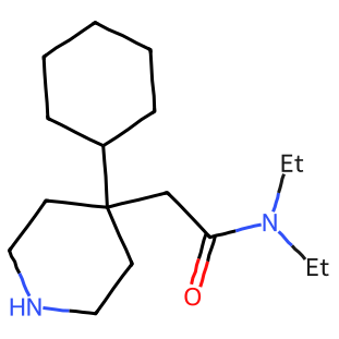 CCN(CC)C(=O)CC1(C2CCCCC2)CCNCC1